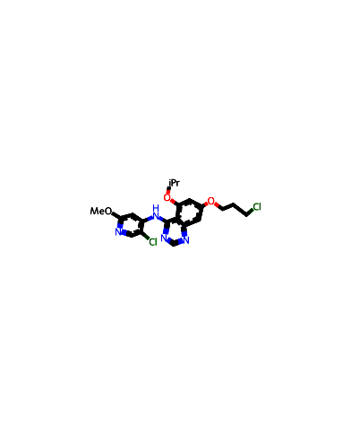 COc1cc(Nc2ncnc3cc(OCCCCl)cc(OC(C)C)c23)c(Cl)cn1